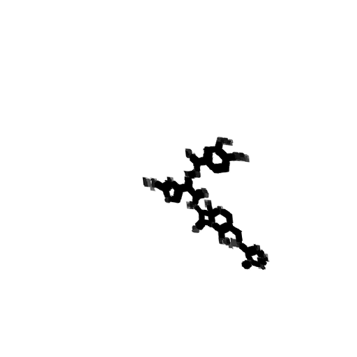 CC(=O)Oc1ccc(C(=O)O/N=C(\C(=O)N[C@@H]2C(=O)N3C(C(=O)O)=C(CSc4nnnn4C)CS[C@@H]23)c2coc(N)n2)cc1OC(C)=O